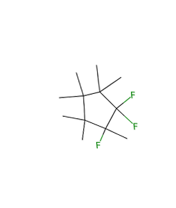 CC1(C)C(C)(C)C(C)(F)C(F)(F)C1(C)C